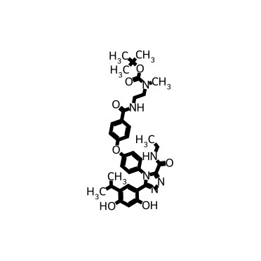 CCNC(=O)c1nnc(-c2cc(C(C)C)c(O)cc2O)n1-c1ccc(Oc2ccc(C(=O)NCCN(C)C(=O)OC(C)(C)C)cc2)cc1